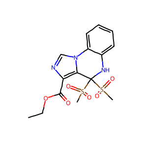 CCOC(=O)c1ncn2c1C(S(C)(=O)=O)(S(C)(=O)=O)Nc1ccccc1-2